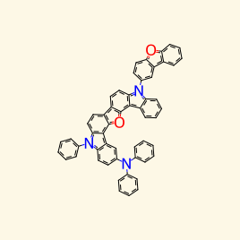 c1ccc(N(c2ccccc2)c2ccc3c(c2)c2c4oc5c(ccc6c5c5ccccc5n6-c5ccc6oc7ccccc7c6c5)c4ccc2n3-c2ccccc2)cc1